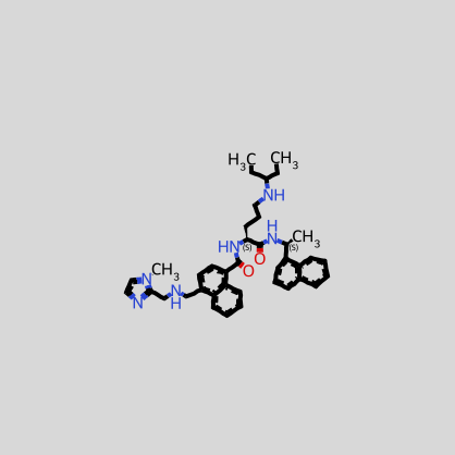 CCC(CC)NCCC[C@H](NC(=O)c1ccc(CNCc2nccn2C)c2ccccc12)C(=O)N[C@@H](C)c1cccc2ccccc12